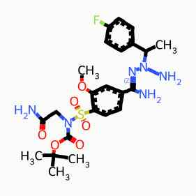 COc1cc(/C(N)=N/N(N)C(C)c2ccc(F)cc2)ccc1S(=O)(=O)N(CC(N)=O)C(=O)OC(C)(C)C